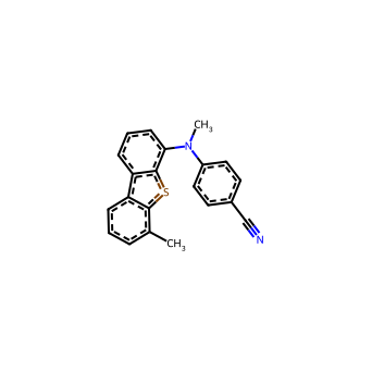 Cc1cccc2c1sc1c(N(C)c3ccc(C#N)cc3)cccc12